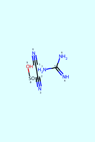 N#CC#N.N=C(N)N.O=S(=O)(O)O